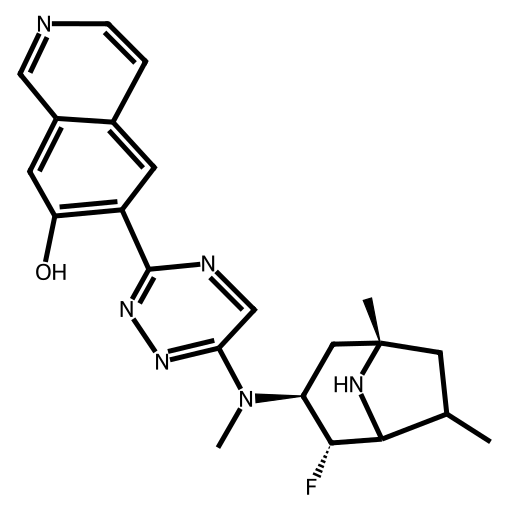 CC1C[C@@]2(C)C[C@H](N(C)c3cnc(-c4cc5ccncc5cc4O)nn3)[C@@H](F)C1N2